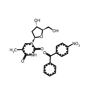 Cc1cn([C@H]2C[C@H](O)[C@@H](CO)O2)c(=O)[nH]c1=O.O=C(c1ccccc1)c1ccc([N+](=O)[O-])cc1